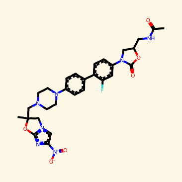 CC(=O)NCC1CN(c2ccc(-c3ccc(N4CCN(CC5(C)Cn6cc([N+](=O)[O-])nc6O5)CC4)cc3)c(F)c2)C(=O)O1